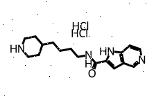 Cl.Cl.O=C(NCCCCC1CCNCC1)c1cc2cnccc2[nH]1